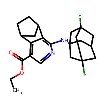 CCOC(=O)c1cnc(NC23CC4CC(F)(CC(F)(C4)C2)C3)c2c1C1CCC2C1